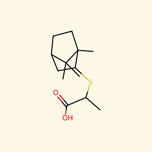 CC(SC1CC2CCC1(C)C2(C)C)C(=O)O